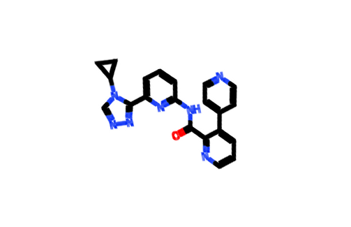 O=C(Nc1cccc(-c2nncn2C2CC2)n1)c1ncccc1-c1ccncc1